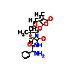 CC1=C(C)C(OC(=O)[C@@H]2N3C(=O)[C@@H](NC(=O)C(N)c4ccccc4)[C@H]3SC2(C)C)OC1=O